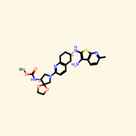 Cc1ccc2c(N)c(N[C@H]3CCc4nc(N5C[C@H](NC(=O)OC(C)(C)C)C6(C5)OCCO6)ccc4C3)sc2n1